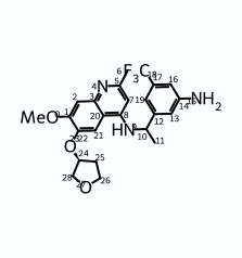 COc1cc2nc(C)cc(NC(C)c3cc(N)cc(C(F)(F)F)c3)c2cc1O[C@H]1CCOC1